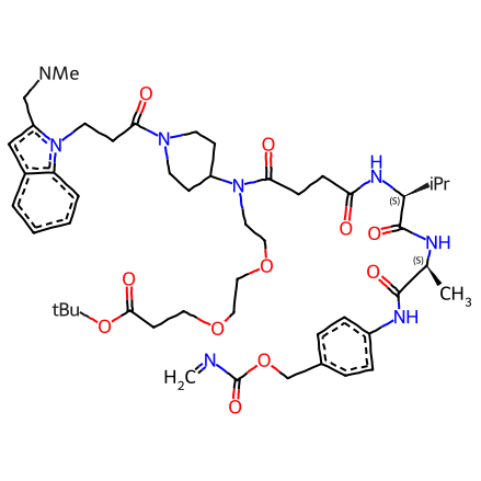 C=NC(=O)OCc1ccc(NC(=O)[C@H](C)NC(=O)[C@@H](NC(=O)CCC(=O)N(CCOCCOCCC(=O)OC(C)(C)C)C2CCN(C(=O)CCn3c(CNC)cc4ccccc43)CC2)C(C)C)cc1